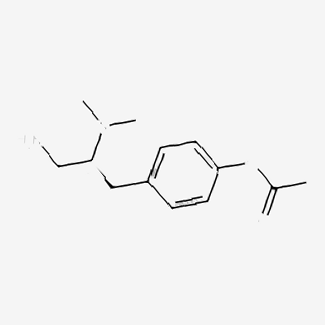 CC(=O)Oc1ccc(C[C@@H](CN)N(C)C)cc1